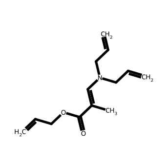 C=CCOC(=O)C(C)=CN(CC=C)CC=C